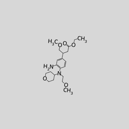 CCOC(=O)CC(COC)c1ccc(N(CCOC)C2CCOCC2)c(N)c1